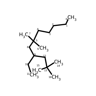 CCCCCC(C)(C)CC(CC)CC(C)(C)C